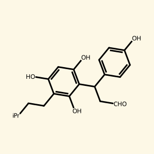 CC(C)CCc1c(O)cc(O)c(C(CC=O)c2ccc(O)cc2)c1O